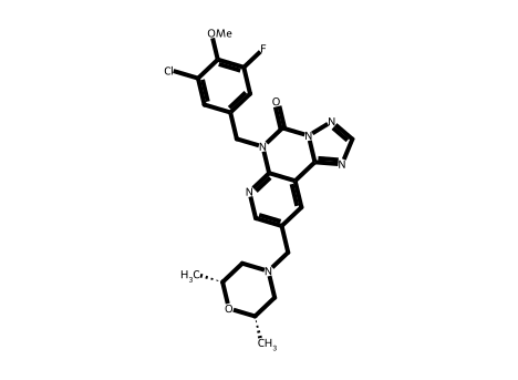 COc1c(F)cc(Cn2c(=O)n3ncnc3c3cc(CN4C[C@@H](C)O[C@@H](C)C4)cnc32)cc1Cl